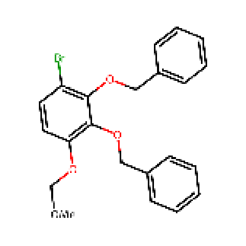 COCOc1ccc(Br)c(OCc2ccccc2)c1OCc1ccccc1